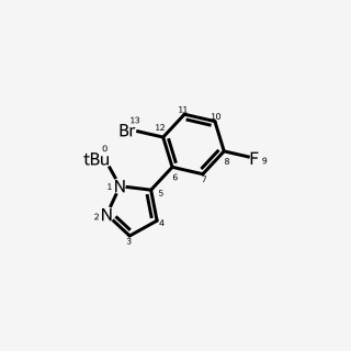 CC(C)(C)n1nccc1-c1cc(F)ccc1Br